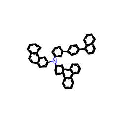 c1cc(-c2ccc(-c3cccc4ccccc34)cc2)cc(N(c2ccc3ccc4ccccc4c3c2)c2ccc3c4ccccc4c4ccccc4c3c2)c1